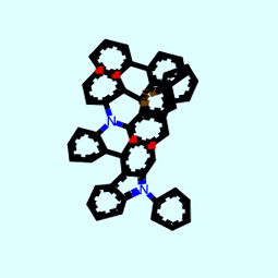 c1ccc(-c2cccc3cccc(-c4ccccc4N(c4ccccc4-c4cccc5c4c4ccccc4n5-c4ccccc4)c4cccc5c4sc4ccccc45)c23)cc1